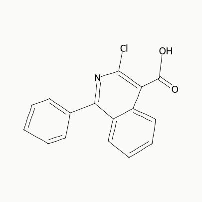 O=C(O)c1c(Cl)nc(-c2ccccc2)c2ccccc12